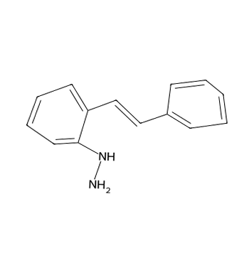 NNc1ccccc1C=Cc1ccccc1